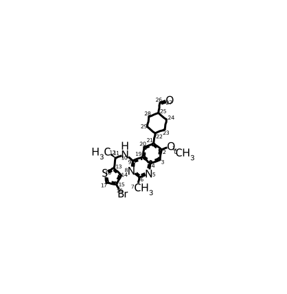 COc1cc2nc(C)nc(N[C@H](C)c3cc(Br)cs3)c2cc1C1CCC(C=O)CC1